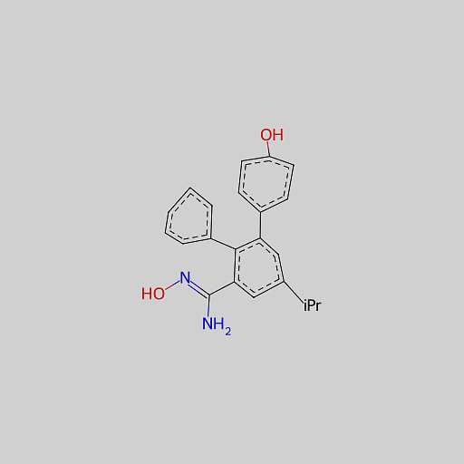 CC(C)c1cc(/C(N)=N/O)c(-c2ccccc2)c(-c2ccc(O)cc2)c1